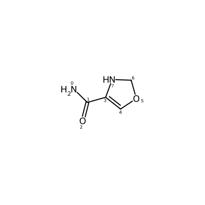 NC(=O)C1=COCN1